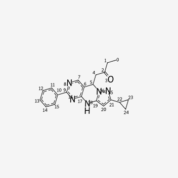 CCC(=O)CC1c2cnc(-c3ccccc3)nc2Nc2cc(C3CC3)nn21